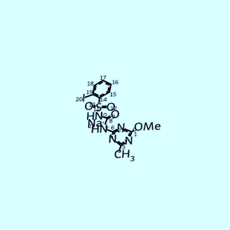 COc1nc(C)nc(NC(=O)NS(=O)(=O)c2ccccc2I)n1.[Na]